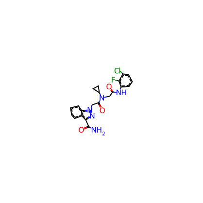 NC(=O)c1nn(CC(=O)N(CC(=O)Nc2cccc(Cl)c2F)C2CC2)c2ccccc12